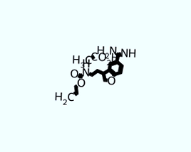 C=CCOC(=O)NCCC1COc2ccc(C(=N)N)cc21.CC(=O)O